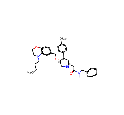 COCCCN1CCOc2ccc(CO[C@H]3CN[C@H](CC(=O)N(C)Cc4ccccc4)C[C@@H]3c3ccc(OC)cc3)cc21